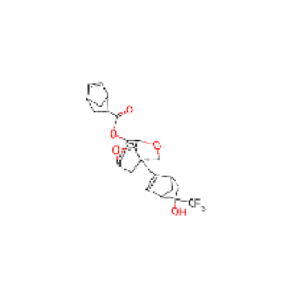 O=C(Oc1c2oc3c1OCC3(C1=CC3CC1CC3(O)C(F)(F)F)C2)C1CC2C=CC1C2